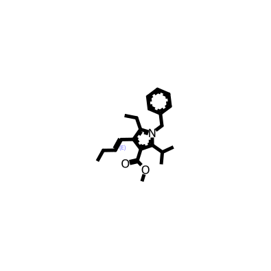 CC/C=C/c1c(C(=O)OC)c(C(C)C)n(Cc2ccccc2)c1CC